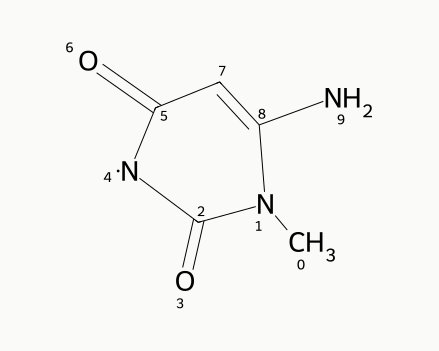 CN1C(=O)[N]C(=O)C=C1N